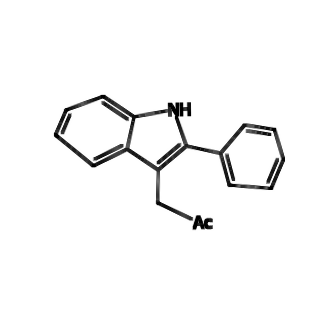 CC(=O)Cc1c(-c2ccccc2)[nH]c2ccccc12